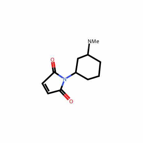 CNC1CCCC(N2C(=O)C=CC2=O)C1